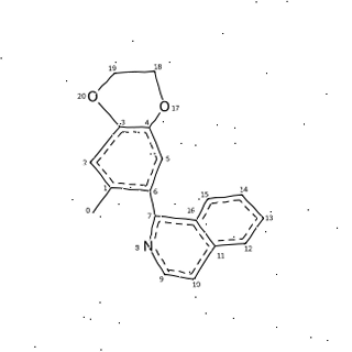 Cc1cc2c(cc1-c1nccc3ccccc13)OCCO2